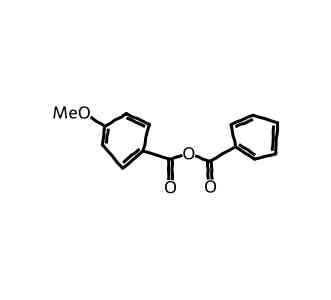 COc1ccc(C(=O)OC(=O)c2ccccc2)cc1